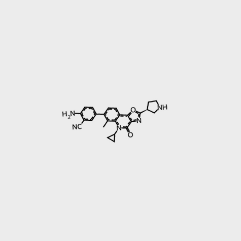 Cc1c(-c2ccc(N)c(C#N)c2)ccc2c3oc([C@H]4CCNC4)nc3c(=O)n(C3CC3)c12